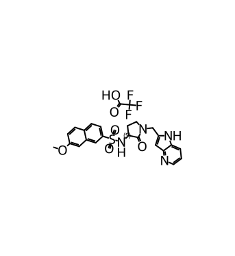 COc1ccc2ccc(S(=O)(=O)N[C@H]3CCN(Cc4cc5ncccc5[nH]4)C3=O)cc2c1.O=C(O)C(F)(F)F